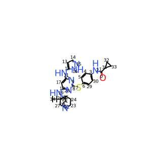 O=C(Nc1ccc(Sc2nc(Nc3ccn[nH]3)cc(N[C@H]3CN4CCC3CC4)n2)cc1)C1CC1